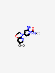 CCNC(=O)n1ccc(N2CCOc3cc(C=O)cnc32)cc1=N